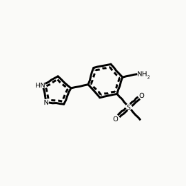 CS(=O)(=O)c1cc(-c2cn[nH]c2)ccc1N